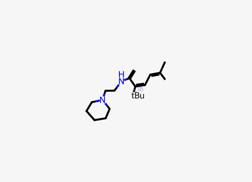 C=C(NCCN1CCCCC1)/C(=C\C=C(C)C)C(C)(C)C